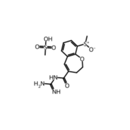 CS(=O)(=O)O.C[S+]([O-])c1cccc2c1OCCC(C(=O)NC(=N)N)=C2